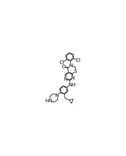 O=C1c2cnc(Nc3ccc(N4CCNCC4)c(CC4CC4)c3)nc2SCN1c1c(Cl)cccc1Cl